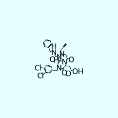 C#CCN1CC(=O)N2[C@@H](CC(=O)O)C(=O)N(Cc3ccc(Cl)c(Cl)c3)C[C@@H]2N1C(=O)NCc1ccccc1